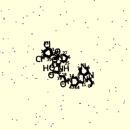 CCc1nc2cnccc2n1CC1CCN(C(=O)CC[C@H](NC(=O)[C@@H]2CCCN2S(=O)(=O)c2cc(Cl)cc(Cl)c2)C(=O)O)CC1